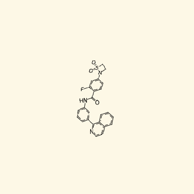 O=C(Nc1cccc(-c2nccc3ccccc23)c1)c1ccc(N2CCS2(=O)=O)cc1F